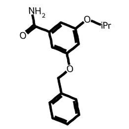 CC(C)Oc1cc(OCc2ccccc2)cc(C(N)=O)c1